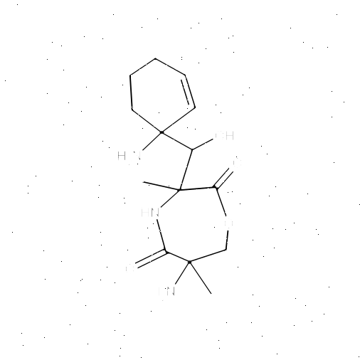 CC1(N)COC(=O)C(C)(C(O)C2(N)C=CCCC2)NC1=O